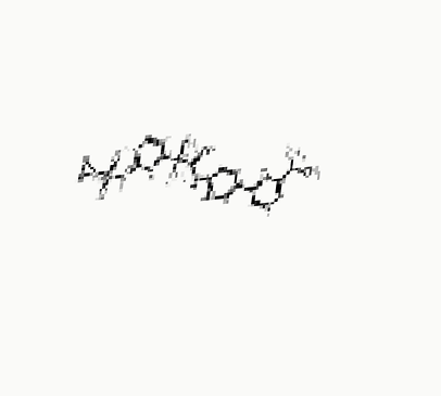 CC(C)c1cncc(-c2ccc(NC(=O)C(C)(C)c3ccnc(NS(=O)(=O)C4CC4)n3)nc2)n1